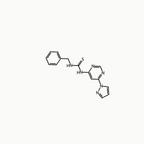 S=C(NCc1ccccc1)Nc1cc(-n2cccn2)ncn1